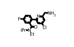 CCN(C(=O)c1cc(F)ccc1-c1cc(Cl)cc(CN)n1)C(C)C